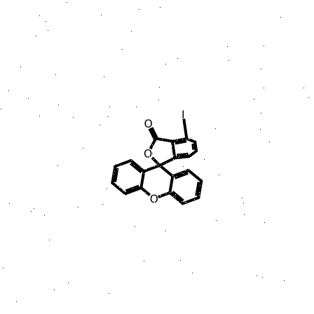 O=C1OC2(c3ccccc3Oc3ccccc32)c2cccc(I)c21